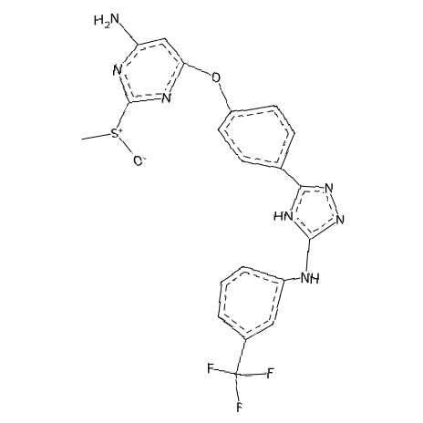 C[S+]([O-])c1nc(N)cc(Oc2ccc(-c3nnc(Nc4cccc(C(F)(F)F)c4)[nH]3)cc2)n1